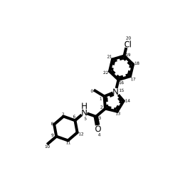 Cc1c(C(=O)NC2CCC(C)CC2)ccn1-c1ccc(Cl)cc1